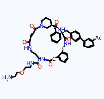 CC(=O)c1cccc(-c2ccc(C[C@@H]3NC(=O)[C@]4(Cc5ccccc5)CCCN(C4)C(=O)/C=C/C(=O)NCC[C@@H](C(=O)NCCOCCN)NC(=O)Cc4ccccc4CNC3=O)cc2)c1